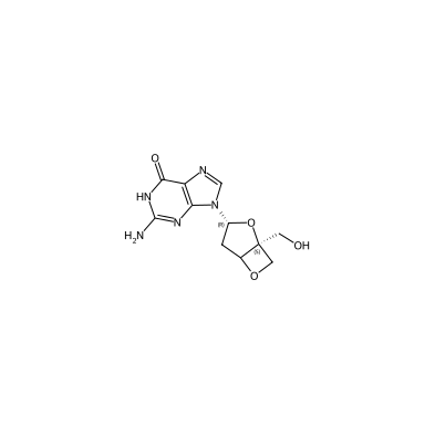 Nc1nc2c(ncn2[C@H]2CC3OC[C@]3(CO)O2)c(=O)[nH]1